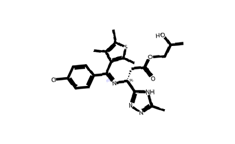 Cc1nnc([C@@H](CC(=O)OCC(C)O)/N=C(/c2ccc(Cl)cc2)c2c(C)sc(C)c2C)[nH]1